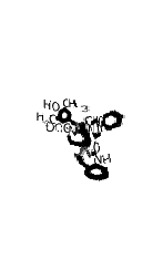 Cc1cc(C[N@+]2(C(=O)[O-])CCC(N3CCc4ccccc4NC3=O)CC2(CC=O)N2CCN(C3CCCCC3)CC2)cc(C)c1O